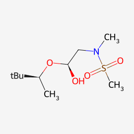 C[C@H](O[C@H](O)CN(C)S(C)(=O)=O)C(C)(C)C